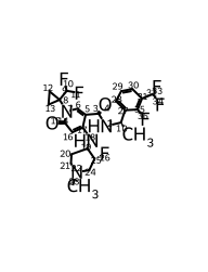 C[C@@H](NC(=O)c1cn(C2(C(F)F)CC2)c(=O)cc1N[C@H]1CCN(C)C[C@H]1F)c1cccc(C(F)F)c1F